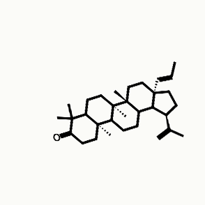 C=C(C)[C@@H]1CC[C@]2(/C=C/C)CC[C@]3(C)C(CCC4[C@@]5(C)CCC(=O)C(C)(C)C5CC[C@]43C)C12